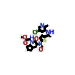 COC(=O)CNC(=O)[C@H](CC1CCCC1)N(C=O)c1ccc([C@H](C)Nc2cc(Cl)cnc2C)s1